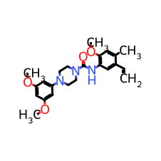 C=Cc1cc(NC(=O)N2CCN(c3cc(OC)cc(OC)c3)CC2)c(OC)cc1C